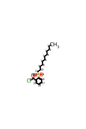 CCCCCCCCCCCCS(=O)(=O)c1ccccc1C(=O)Cl